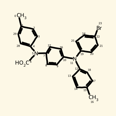 Cc1ccc(N(C(=O)O)c2ccc(N(c3ccc(C)cc3)c3ccc(Br)cc3)cc2)cc1